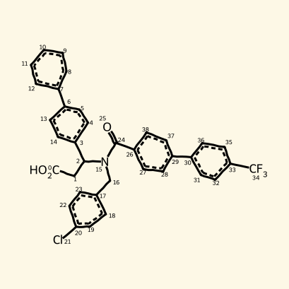 O=C(O)CC(c1ccc(-c2ccccc2)cc1)N(Cc1ccc(Cl)cc1)C(=O)c1ccc(-c2ccc(C(F)(F)F)cc2)cc1